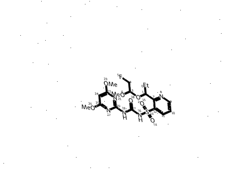 CCC(OC(CF)OC)c1ncccc1S(=O)(=O)NC(=O)Nc1nc(OC)cc(OC)n1